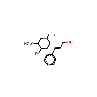 CC1CCC(C(C)C)C(C(=O)O)C1.OCC=Cc1ccccc1